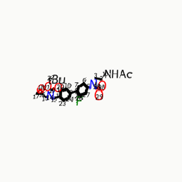 CC(=O)NC[C@H]1CN(c2ccc(-c3ccc(CN(C[C@H]4CO4)C(=O)OC(C)(C)C)cc3)c(F)c2)C(=O)O1